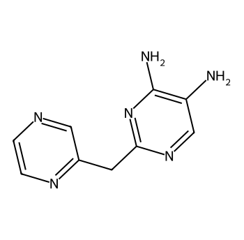 Nc1cnc(Cc2cnccn2)nc1N